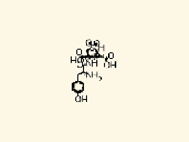 N[C@@H](Cc1ccc(O)cc1)C(=O)N[C@@]1(C(=O)O)CS(=O)(=O)[C@H]2[C@H](C(=O)O)[C@H]21